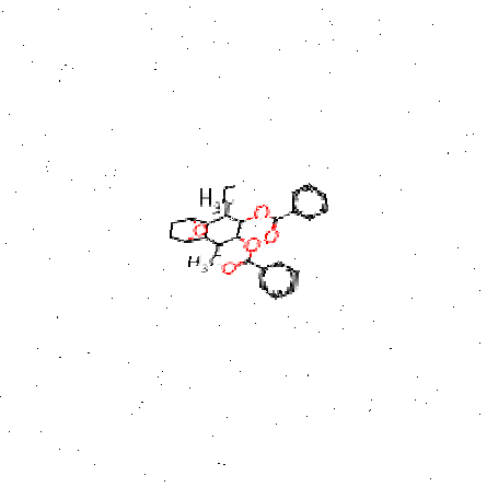 CC1C(OC(=O)c2ccccc2)C(OC(=O)c2ccccc2)C(C)C2C3CCC(O3)C12